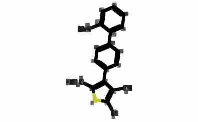 CCOC(=O)c1sc(CC)c(C#N)c1-c1ccc(-c2ccccc2SC)cc1